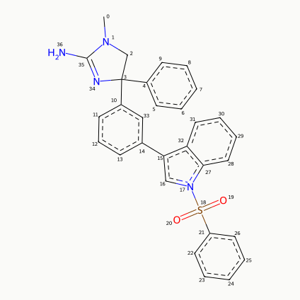 CN1CC(c2ccccc2)(c2cccc(-c3cn(S(=O)(=O)c4ccccc4)c4ccccc34)c2)N=C1N